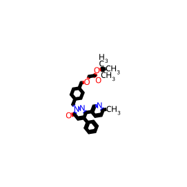 Cc1ccc(-c2nn(CC3CCC(COCC(=O)OC(C)(C)C)CC3)c(=O)cc2-c2ccccc2)cn1